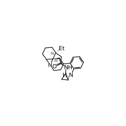 CC[C@@]1(CC(=O)NC2CC2)CCCC2N3CCC(c4ccccc4N)=C[C@]231